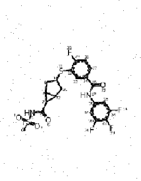 CS(=O)(=O)NC(=O)C1C2CC(Sc3cc(C(=O)Nc4cc(F)c(F)c(F)c4)ccc3F)CC21